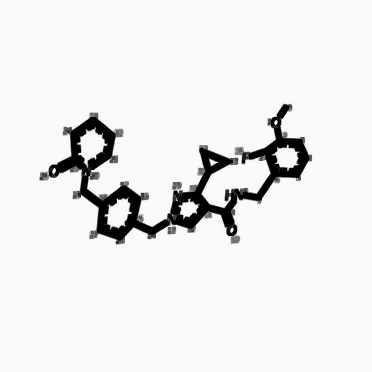 COc1cccc(CNC(=O)c2cn(Cc3ccc(Cn4ccccc4=O)cc3)nc2C2CC2)c1F